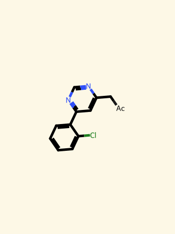 CC(=O)Cc1cc(-c2ccccc2Cl)ncn1